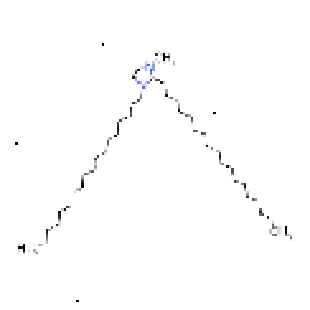 CCCCCCCCCCCCCCCCCCC1N(C)C=CN1CCCCCCCCCCCCCCCCCC